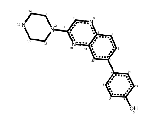 Oc1ccc(-c2ccc3ncc(N4CC[N]CC4)nc3c2)cc1